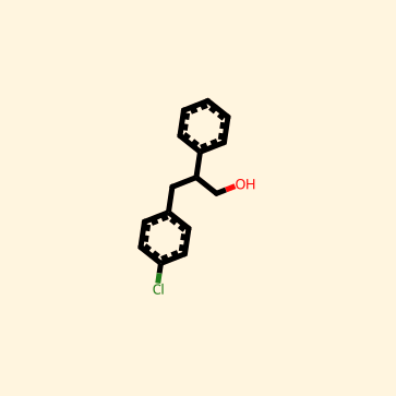 OCC(Cc1ccc(Cl)cc1)c1ccccc1